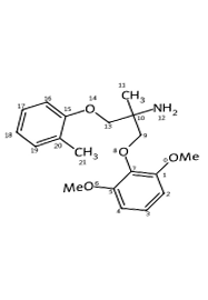 COc1cccc(OC)c1OCC(C)(N)COc1ccccc1C